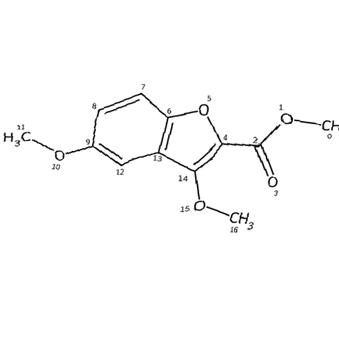 COC(=O)c1oc2ccc(OC)cc2c1OC